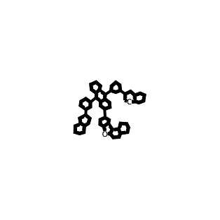 c1cc(-c2ccc3ccccc3c2)cc(-c2c3ccccc3c(-c3cccc(-c4ccc5ccccc5c4)c3)c3cc(-c4ccc5oc6ccc7ccccc7c6c5c4)ccc23)c1